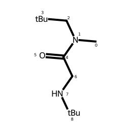 CN(CC(C)(C)C)C(=O)CNC(C)(C)C